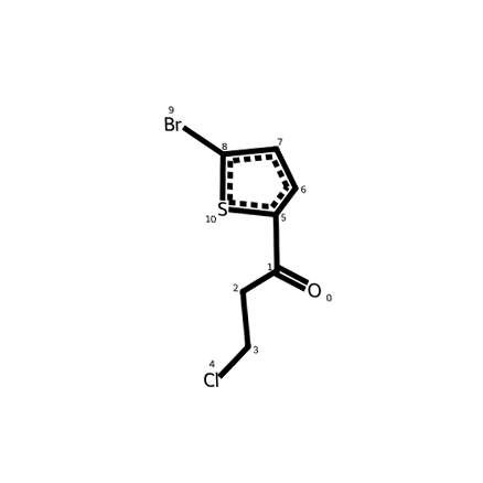 O=C(CCCl)c1ccc(Br)s1